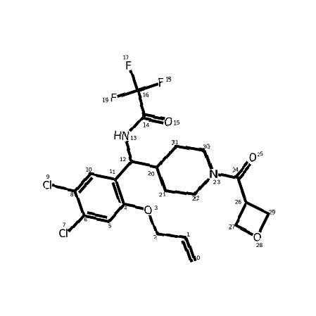 C=CCOc1cc(Cl)c(Cl)cc1C(NC(=O)C(F)(F)F)C1CCN(C(=O)C2COC2)CC1